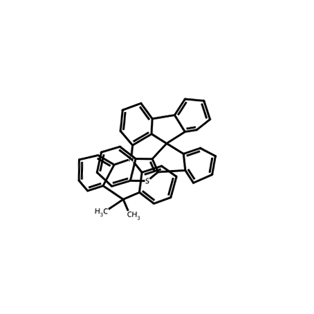 CC1(C)c2ccccc2N(c2cccc3c2C2(c4ccccc4-3)c3ccccc3-c3sc4ccccc4c32)c2ccccc21